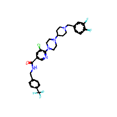 O=C(NCc1ccc(C(F)(F)F)cc1)c1cnc(N2CCN(C3CCN(Cc4ccc(F)c(F)c4)CC3)CC2)c(Cl)c1